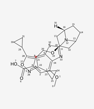 COc1cc(C(=O)O)cc2sc(N3C4CC[C@H]3C[C@H](OCc3c(C5CC5)noc3C3CC3)C4)nc12